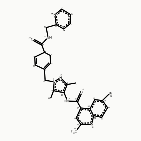 Cc1nn(CC2=CCC(C(=O)NCc3ccccn3)C=C2)c(C)c1NC(=O)c1cc(C(F)(F)F)nc2ccc(Br)cc12